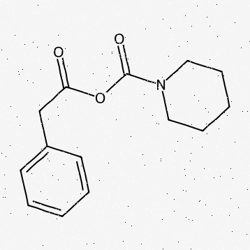 O=C(Cc1ccccc1)OC(=O)N1CCCCC1